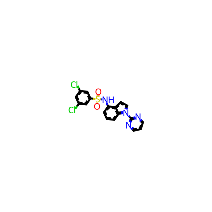 O=S(=O)(Nc1cccc2c1ccn2-c1ncccn1)c1cc(Cl)cc(Cl)c1